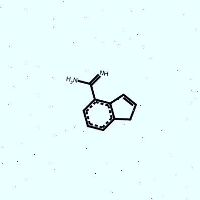 N=C(N)c1cccc2c1C=CC2